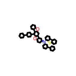 c1ccc(-c2ccc(-c3c4oc5ccc(N(c6cccc(-c7ccccc7)c6)c6cccc7c6sc6ccccc67)cc5c4cc4oc5ccccc5c34)cc2)cc1